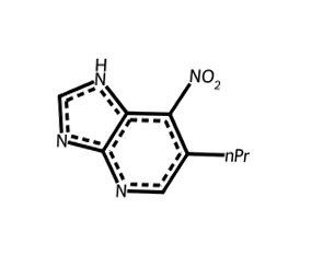 CCCc1cnc2nc[nH]c2c1[N+](=O)[O-]